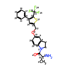 C[C@H](N)C(=O)N1CCc2cc(OCc3cc(-c4ccccc4)c(C(F)(F)F)s3)ccc21